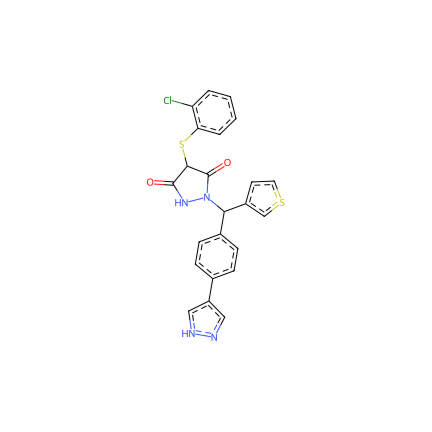 O=C1NN(C(c2ccc(-c3cn[nH]c3)cc2)c2ccsc2)C(=O)C1Sc1ccccc1Cl